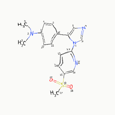 CN(C)c1ccc(-c2cncn2-c2ccc(S(C)(=O)=O)cn2)cc1